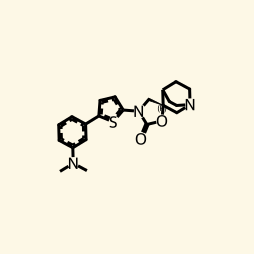 CN(C)c1cccc(-c2ccc(N3C[C@@]4(CN5CCC4CC5)OC3=O)s2)c1